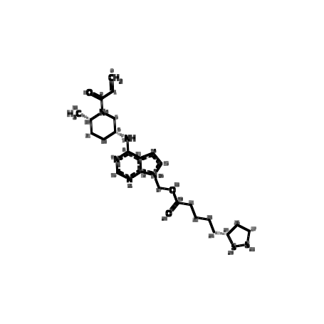 C=CC(=O)N1C[C@H](Nc2ncnc3c2ccn3COC(=O)CCCC[C@@H]2CCSS2)CC[C@@H]1C